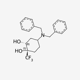 O[C@@H]1CC(N(Cc2ccccc2)Cc2ccccc2)CC[C@@]1(O)C(F)(F)F